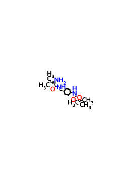 CC(C)[C@H](N)C(=O)NCc1ccc(NC(=O)OC(C)(C)C)cc1